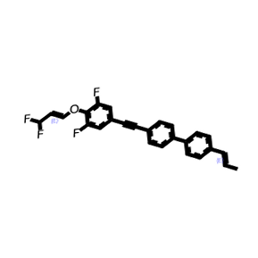 C/C=C/c1ccc(-c2ccc(C#Cc3cc(F)c(O/C=C/C(F)F)c(F)c3)cc2)cc1